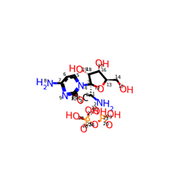 CC(N)[C@@]1(n2ccc(N)nc2=O)O[C@H](CO)[C@@H](O)[C@H]1O.O=P(O)(O)OP(=O)(O)O